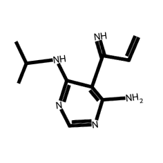 C=CC(=N)c1c(N)ncnc1NC(C)C